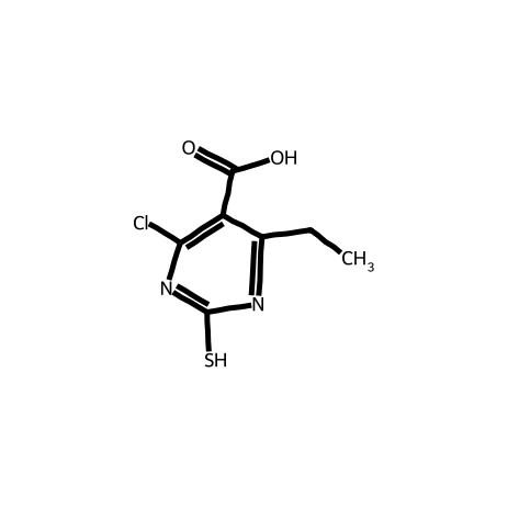 CCc1nc(S)nc(Cl)c1C(=O)O